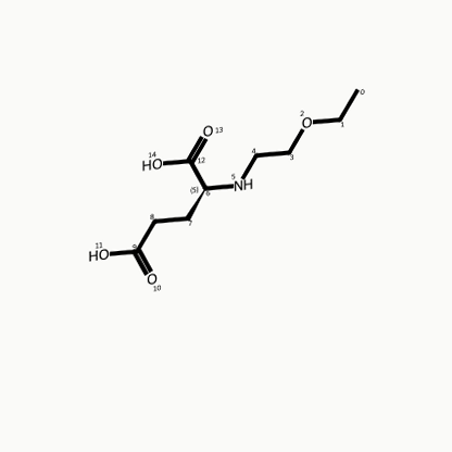 CCOCCN[C@@H](CCC(=O)O)C(=O)O